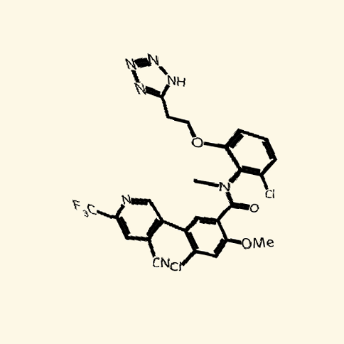 COc1cc(Cl)c(-c2cnc(C(F)(F)F)cc2C#N)cc1C(=O)N(C)c1c(Cl)cccc1OCCc1nnn[nH]1